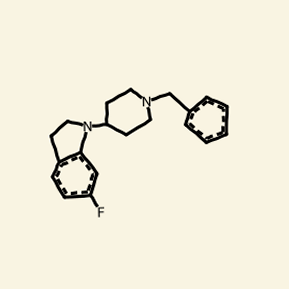 Fc1ccc2c(c1)N(C1CCN(Cc3ccccc3)CC1)CC2